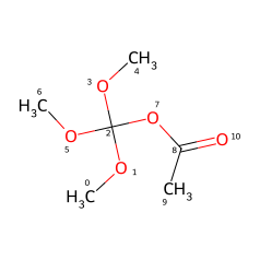 COC(OC)(OC)OC(C)=O